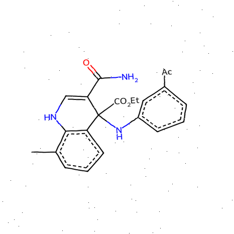 CCOC(=O)C1(Nc2cccc(C(C)=O)c2)C(C(N)=O)=CNc2c(C)cccc21